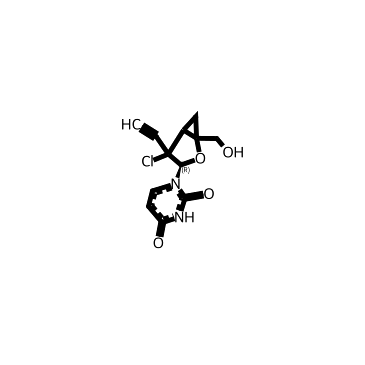 C#CC1(Cl)C2CC2(CO)O[C@H]1n1ccc(=O)[nH]c1=O